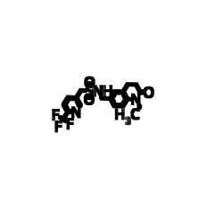 CCN1C(=O)CCc2cc(CNS(=O)(=O)Cc3ccc(C(F)(F)F)nc3)ccc21